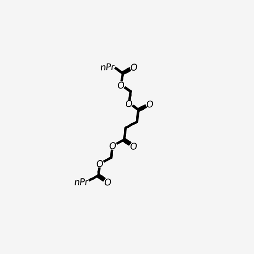 CCCC(=O)OCOC(=O)CCC(=O)OCOC(=O)CCC